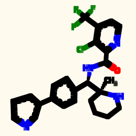 C[C@@]1([C@@H](NC(=O)c2nccc(C(F)(F)F)c2Cl)c2ccc(-c3cccnc3)cc2)CCCCN1